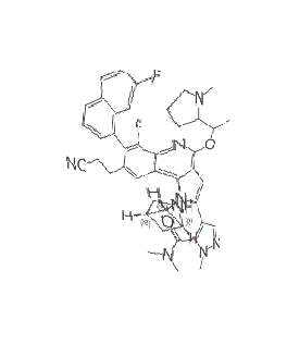 CC(Oc1nc2c(F)c(-c3cccc4ccc(F)cc34)c(CCC#N)cc2c2c1cc(-c1cnn(C)c1C(=O)N(C)C)n2[C@H]1[C@H]2CN[C@@H]1C2)C1CCCN1C